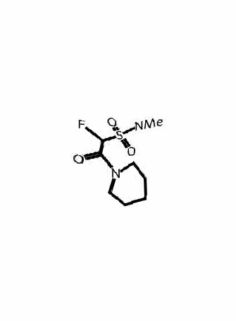 CNS(=O)(=O)C(F)C(=O)N1CCCCC1